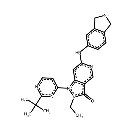 CCn1c(=O)c2cnc(Nc3ccc4c(c3)CNC4)cc2n1-c1ccnc(C(C)(C)C)n1